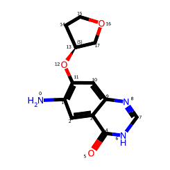 Nc1cc2c(=O)[nH]cnc2cc1O[C@H]1CCOC1